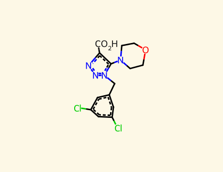 O=C(O)c1nnn(Cc2cc(Cl)cc(Cl)c2)c1N1CCOCC1